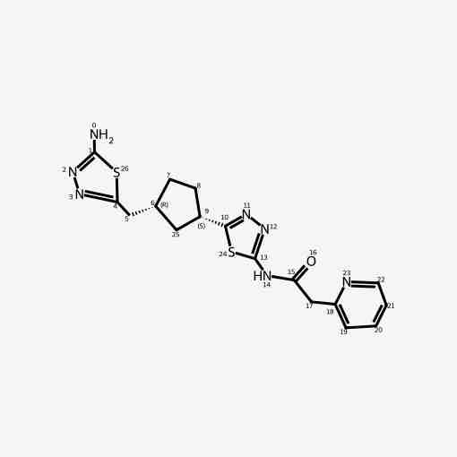 Nc1nnc(C[C@@H]2CC[C@H](c3nnc(NC(=O)Cc4ccccn4)s3)C2)s1